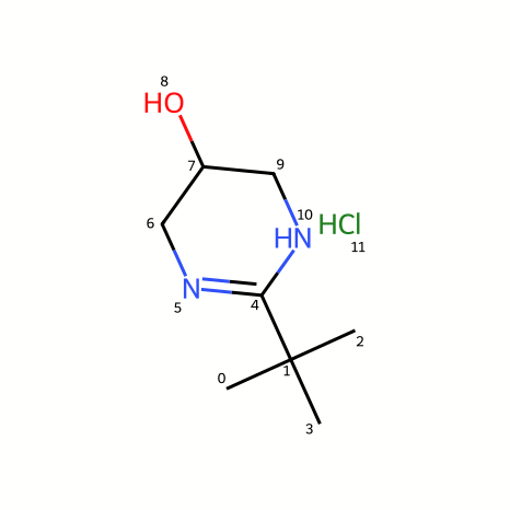 CC(C)(C)C1=NCC(O)CN1.Cl